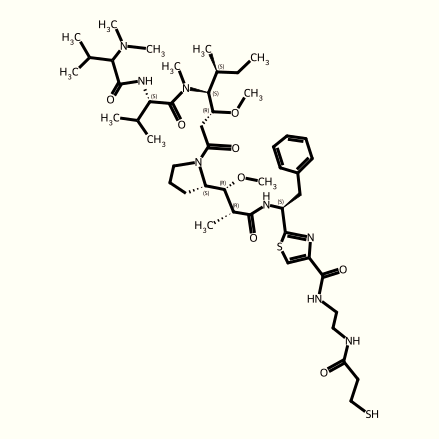 CC[C@H](C)[C@@H]([C@@H](CC(=O)N1CCC[C@H]1[C@H](OC)[C@@H](C)C(=O)N[C@@H](Cc1ccccc1)c1nc(C(=O)NCCNC(=O)CCS)cs1)OC)N(C)C(=O)[C@@H](NC(=O)C(C(C)C)N(C)C)C(C)C